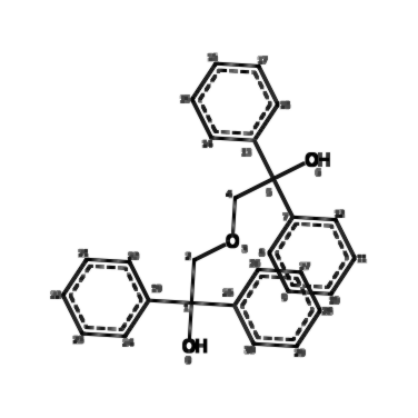 OC(COCC(O)(c1ccccc1)c1ccccc1)(c1ccccc1)c1ccccc1